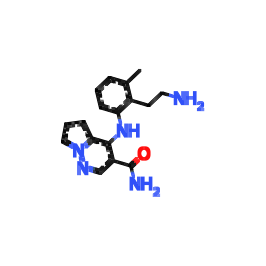 Cc1cccc(Nc2c(C(N)=O)cnn3cccc23)c1CCN